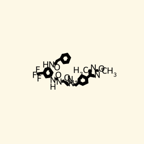 COc1ncc(-c2ccc(C[n+]3cc([N-]C(=O)Nc4cc(NC(=O)Cc5ccccc5)cc(C(F)(F)F)c4)on3)cc2)c(C)n1